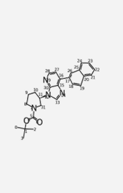 CC(C)(C)OC(=O)N1CCC[C@@H](n2cnc3c(-c4ccc5ccccc5c4)ccnc32)C1